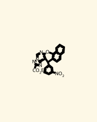 CCOC(=O)c1nc2c3c(ncn2n1)Oc1c(ccc2ccccc12)C3c1cccc([N+](=O)[O-])c1